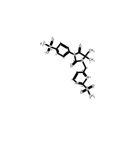 CC1(C)C(=O)N(c2ccc(S(=O)(=O)C(F)(F)F)cc2)C(=O)N1Cc1ccnc(S(C)(=O)=O)n1